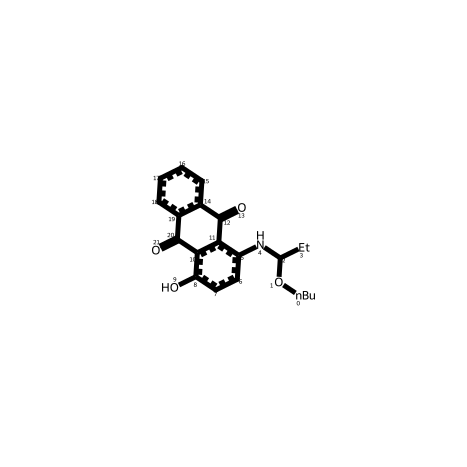 CCCCOC(CC)Nc1ccc(O)c2c1C(=O)c1ccccc1C2=O